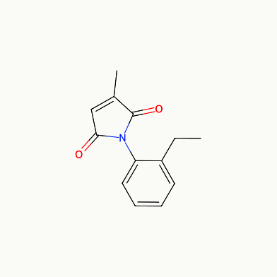 CCc1ccccc1N1C(=O)C=C(C)C1=O